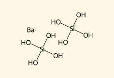 O[Si](O)(O)O.O[Si](O)(O)O.[Ba]